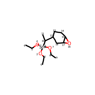 CC[O][Sn]([O]CC)([O]CC)[CH](C)C1CCC2OC2C1